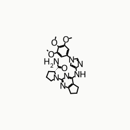 COc1cc(-n2cnc(Nc3nc(N4CCC[C@@H]4C(N)=O)nc4c3CCC4)c2)cc(OC)c1OC